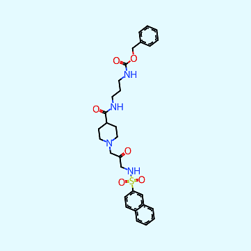 O=C(CNS(=O)(=O)c1ccc2ccccc2c1)CN1CCC(C(=O)NCCCNC(=O)OCc2ccccc2)CC1